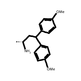 COc1ccc(C(C[C@@H](C)N)c2ccc(OC)cc2)cc1